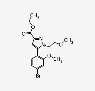 CCOC(=O)c1cc(-c2ccc(Br)cc2OC)n(CCOC)n1